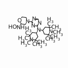 CN1C(C)(C)CC(N(c2ncnc(N3CCOC(NO)C3)n2)C2CC(C)(C)N(C)C(C)(C)C2)CC1(C)C